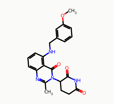 COc1cccc(CNc2cccc3nc(C)n(C4CCC(=O)NC4=O)c(=O)c23)c1